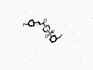 O=C(/C=C/c1ccc(F)cc1)N1CCN(S(=O)(=O)c2cccc(F)c2)CC1